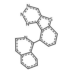 c1ccc2c(-c3cccc4sc5cnnnc5c34)nccc2c1